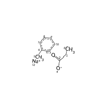 CCC(=O)[O-].Cc1ccccc1.[Na+]